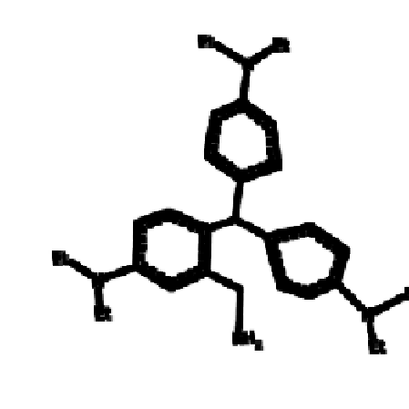 CCN(CC)c1ccc(C(c2ccc(N(CC)CC)cc2)c2ccc(N(CC)CC)cc2CN)cc1